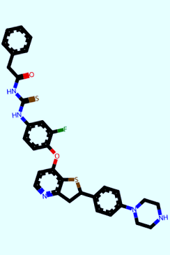 O=C(Cc1ccccc1)NC(=S)Nc1ccc(Oc2ccnc3c2SC(c2ccc(N4CCNCC4)cc2)C3)c(F)c1